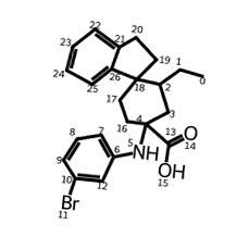 CCC1CC(Nc2cccc(Br)c2)(C(=O)O)CCC12CCc1ccccc12